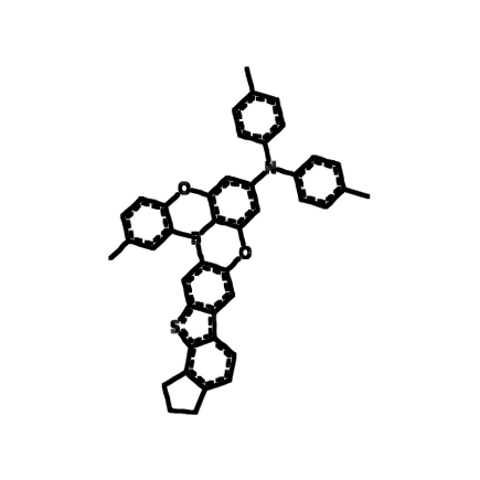 Cc1ccc(N(c2ccc(C)cc2)c2cc3c4c(c2)Oc2cc5c(cc2B4c2cc(C)ccc2O3)sc2c3c(ccc25)CCC3)cc1